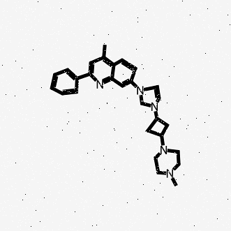 Cc1cc(-c2ccccc2)nc2cc(N3C=CN(C4CC(N5CCN(C)CC5)C4)C3)ccc12